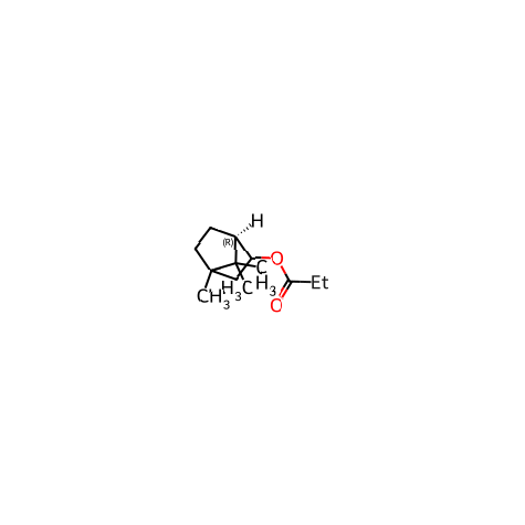 CCC(=O)OC1CC2(C)CC[C@@H]1C2(C)C